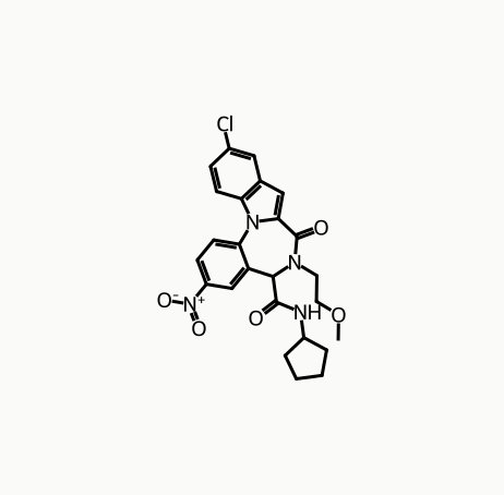 COCCN1C(=O)c2cc3cc(Cl)ccc3n2-c2ccc([N+](=O)[O-])cc2C1C(=O)NC1CCCC1